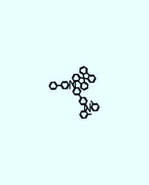 Cc1ccccc1N(c1ccc(-c2ccc(N(c3ccc(-c4ccccc4)cc3)c3cccc4c3-c3ccccc3C43c4ccccc4-c4ccccc43)cc2)cc1)c1ccccc1C